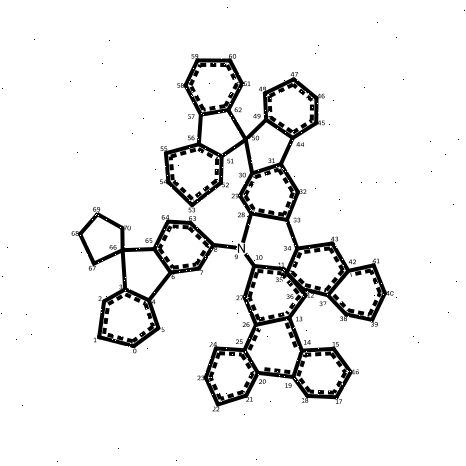 c1ccc2c(c1)-c1cc(N(c3ccc4c5ccccc5c5ccccc5c4c3)c3cc4c(cc3-c3ccc5ccccc5c3)-c3ccccc3C43c4ccccc4-c4ccccc43)ccc1C21CCCC1